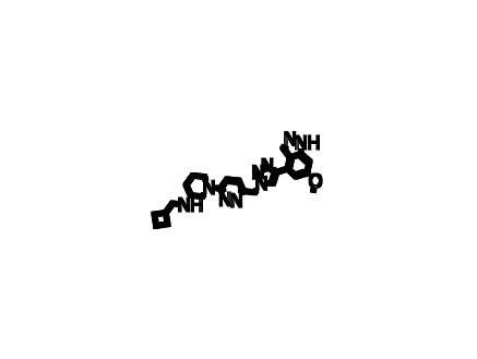 COc1cc(-c2cn(Cc3ccc(N4CCC[C@@H](NCC5CCC5)C4)nn3)nn2)c2cn[nH]c2c1